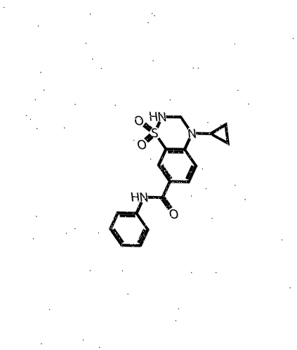 O=C(Nc1ccccc1)c1ccc2c(c1)S(=O)(=O)NCN2C1CC1